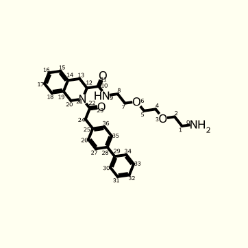 NCCOCCOCCNC(=O)C1Cc2ccccc2CN1C(=O)Cc1ccc(-c2ccccc2)cc1